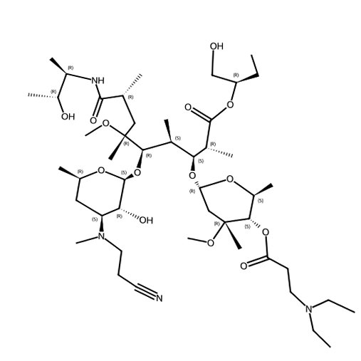 CC[C@H](CO)OC(=O)[C@H](C)[C@@H](O[C@H]1C[C@@](C)(OC)[C@@H](OC(=O)CCN(CC)CC)[C@H](C)O1)[C@H](C)[C@@H](O[C@@H]1O[C@H](C)C[C@H](N(C)CCC#N)[C@H]1O)[C@@](C)(C[C@@H](C)C(=O)N[C@H](C)[C@@H](C)O)OC